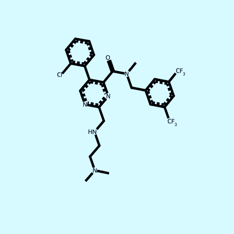 CN(C)CCNCc1ncc(-c2ccccc2Cl)c(C(=O)N(C)Cc2cc(C(F)(F)F)cc(C(F)(F)F)c2)n1